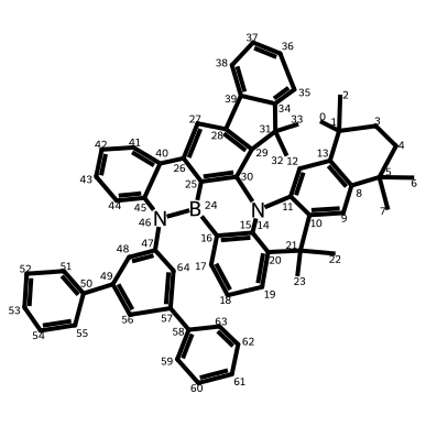 CC1(C)CCC(C)(C)c2cc3c(cc21)N1c2c(cccc2C3(C)C)B2c3c(cc4c(c31)C(C)(C)c1ccccc1-4)-c1ccccc1N2c1cc(-c2ccccc2)cc(-c2ccccc2)c1